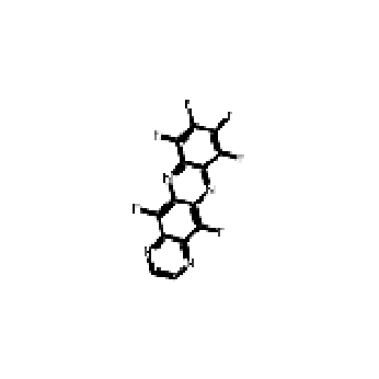 Fc1c(F)c(F)c2nc3c(F)c4nccnc4c(F)c3nc2c1F